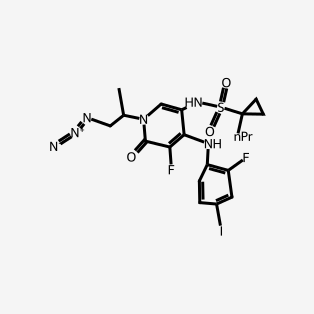 CCCC1(S(=O)(=O)Nc2cn(C(C)CN=[N+]=[N-])c(=O)c(F)c2Nc2ccc(I)cc2F)CC1